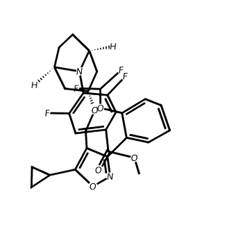 COC(=O)c1cc(F)c(N2[C@@H]3CC[C@H]2C[C@H](OCc2c(-c4ccccc4OC(F)F)noc2C2CC2)C3)c(F)c1